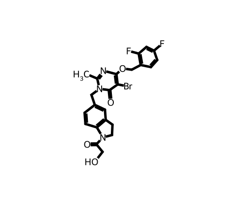 Cc1nc(OCc2ccc(F)cc2F)c(Br)c(=O)n1Cc1ccc2c(c1)CCN2C(=O)CO